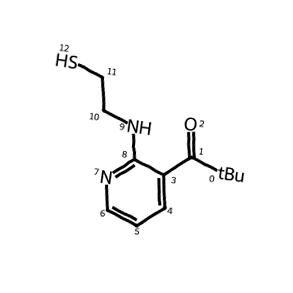 CC(C)(C)C(=O)c1cccnc1NCCS